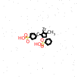 CC1=CCC(C)=[C]1[Zr].O=S(=O)(O)c1ccccc1.O=S(=O)(O)c1ccccc1